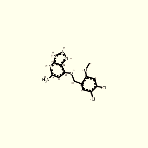 COc1cc(Cl)c(Cl)cc1COc1cc(N)nc2[nH]nnc12